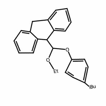 CCOC(Oc1ccc(C(C)CC)cc1)C1c2ccccc2Cc2ccccc21